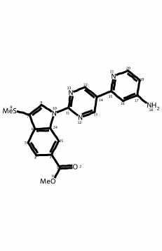 COC(=O)c1ccc2c(SC)cn(-c3ncc(-c4cc(N)ccn4)cn3)c2c1